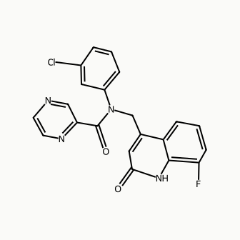 O=C(c1cnccn1)N(Cc1cc(=O)[nH]c2c(F)cccc12)c1cccc(Cl)c1